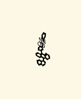 c1ccc2c(-c3c4ccccc4c(-c4ccc5c(c4)Oc4nc6ccccc6nc4O5)c4ccccc34)cccc2c1